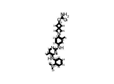 Cc1cc(Nc2ncc(C)c(Nc3ccccc3P(C)C)n2)ccc1N1CC2(CC(OC(N)=O)C2)C1